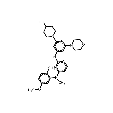 COc1ccc(C)c(N(C)c2ccnc(Nc3cc(N4CCOCC4)nc(N4CCC(O)CC4)c3)n2)c1